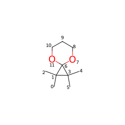 CC1(C)C(C)(C)C12OCCCO2